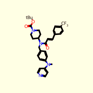 CN(c1ccncc1)c1ccc(CN(C(=O)/C=C/c2ccc(C(F)(F)F)cc2)C2CCN(C(=O)OC(C)(C)C)CC2)cc1